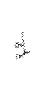 CCCCCCCCCC(CCCOP(O)OCC(C)N1CCCCC1)OCc1ccccc1